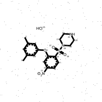 Cc1cc(C)cc(Oc2cc([N+](=O)[O-])ccc2S(=O)(=O)N2CCNCC2)c1.Cl